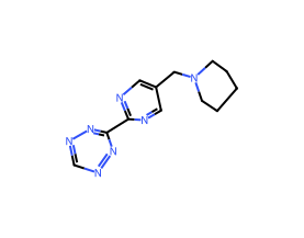 c1nnc(-c2ncc(CN3CCCCC3)cn2)nn1